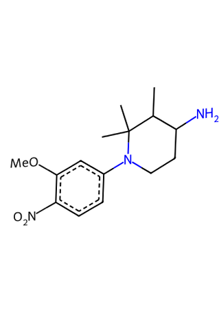 COc1cc(N2CCC(N)C(C)C2(C)C)ccc1[N+](=O)[O-]